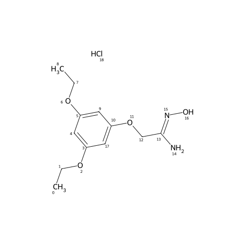 CCOc1cc(OCC)cc(OCC(N)=NO)c1.Cl